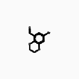 O=Cc1cc(Br)cc2c1OCCO2